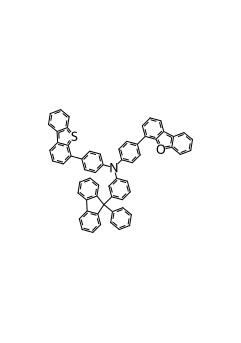 c1ccc(C2(c3cccc(N(c4ccc(-c5cccc6c5oc5ccccc56)cc4)c4ccc(-c5cccc6c5sc5ccccc56)cc4)c3)c3ccccc3-c3ccccc32)cc1